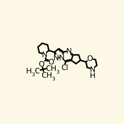 CC(C)(C)OC(=O)N1CCCCC1c1cc2nc3c(c(Cl)n2n1)CC(C1CNCCO1)C3